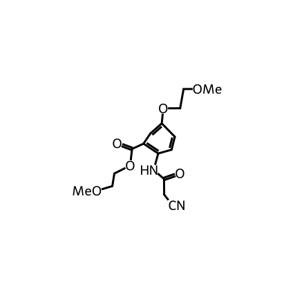 COCCOC(=O)c1cc(OCCOC)ccc1NC(=O)CC#N